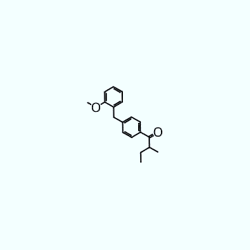 CCC(C)C(=O)c1ccc(Cc2ccccc2OC)cc1